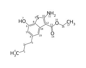 CCCCc1cc(O)c2sc(N)c(C(=O)OCC)c2c1